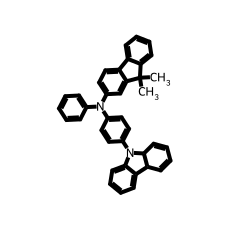 CC1(C)c2ccccc2-c2ccc(N(c3ccccc3)c3ccc(N4c5ccccc5C5C=CC=CC54)cc3)cc21